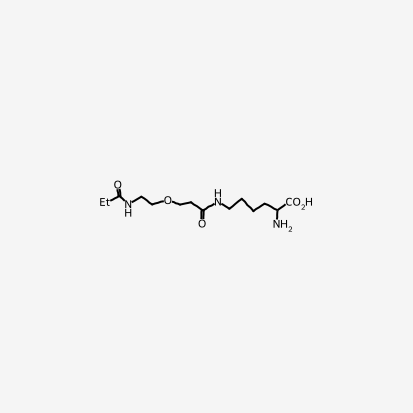 CCC(=O)NCCOCCC(=O)NCCCCC(N)C(=O)O